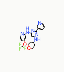 FC(F)(F)Oc1ccnc(Nc2cc(NC3CCOCC3)nc(-c3cccnc3)n2)c1